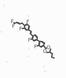 CCCC1COC(c2ccc(-c3ccc(/C=C/c4cc(F)c(C/C=C/C(F)F)c(F)c4)c(F)c3)c(F)c2)OC1